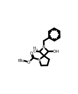 CC1N(Cc2ccccc2)C(O)C12CCCN2C(=O)OC(C)(C)C